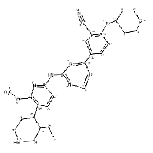 COc1nc(Nc2nccc(-c3ccc(OC4CCOCC4)c(C#N)c3)n2)ccc1C1CCNCC1CF